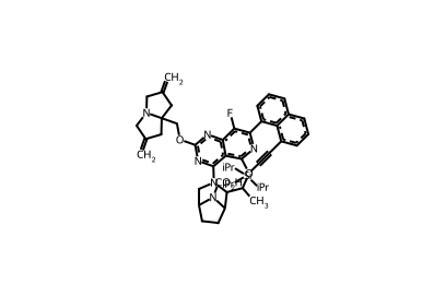 C=C1CN2CC(=C)CC2(COc2nc3c4c(nc(-c5cccc6cccc(C#C[Si](C(C)C)(C(C)C)C(C)C)c56)c(F)c4n2)OC(C)C2C4CCC(CN32)N4C(=O)O)C1